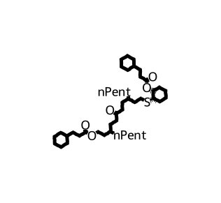 CCCCCC(CCOC(=O)CCC1CCCCC1)CCC(=O)CCC(CCCCC)CCS[C@@H]1CCCC[C@H]1OC(=O)CCC1CCCCC1